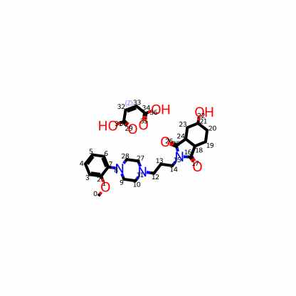 COc1ccccc1N1CCN(CCCN2C(=O)C3CCC(O)CC3C2=O)CC1.O=C(O)/C=C\C(=O)O